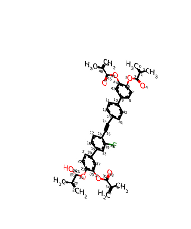 C=C(C)C(=O)Oc1ccc(-c2ccc(C#Cc3ccc(-c4ccc(O[C@@H](O)C(=C)C)c(OC(=O)C(=C)C)c4)cc3F)cc2)cc1OC(=O)C(=C)C